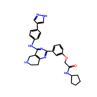 O=C(COc1cccc(-c2nc3c(c(Nc4ccc(-c5cn[nH]c5)cc4)n2)CNCC3)c1)NC1CCCC1